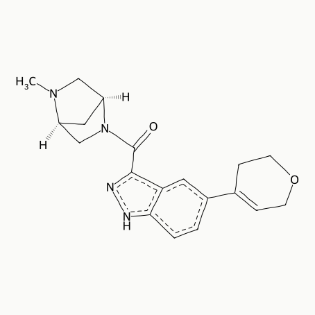 CN1C[C@@H]2C[C@H]1CN2C(=O)c1n[nH]c2ccc(C3=CCOCC3)cc12